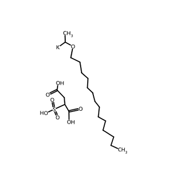 CCCCCCCCCCCCCCO[CH](C)[K].O=C(O)CC(C(=O)O)S(=O)(=O)O